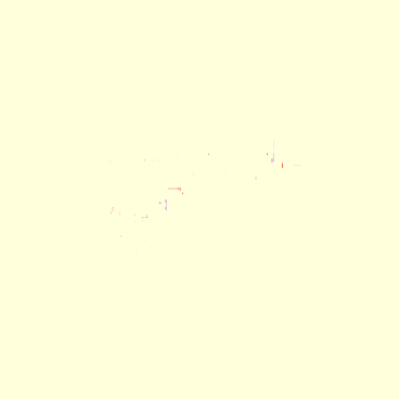 O=C(CCCCCC1OCCCCOc2ccccc2NC1=O)NO